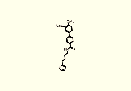 COc1ccc(-c2ccc(C(=O)NCCCCc3cccs3)cc2)cc1OC